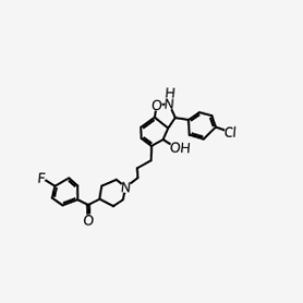 O=C(c1ccc(F)cc1)C1CCN(CCCC2=CC=C3ONC(c4ccc(Cl)cc4)C3C2O)CC1